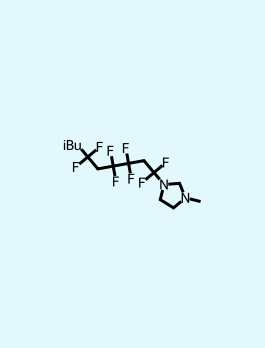 CCC(C)C(F)(F)CC(F)(F)C(F)(F)CC(F)(F)N1CCN(C)C1